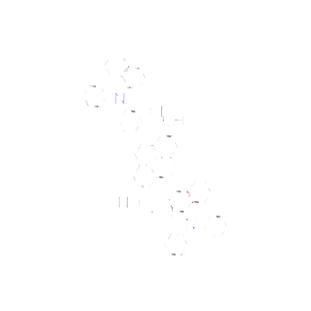 CC1(C)c2cc(N(c3ccccc3)c3ccccc3-c3ccccc3)ccc2-c2cc3ccc4c5c(cc6ccc1c2c6c35)-c1ccc(N(c2ccccc2)c2ccccc2-c2ccccc2)cc1C4(C)C